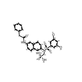 O=C(Cc1ccccc1)Nc1ccc2cc(N(CP(=O)(O)O)S(=O)(=O)c3cc(Cl)cc(Cl)c3)ccc2c1